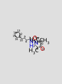 CC1CN(C(=O)NCCCCc2ccccc2)C(C)(C)CC1=O